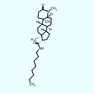 CCCCCCCCNC(=O)[C@H]1CC[C@H]2[C@@H]3CC[C@H]4N(C)C(=O)CC[C@]4(C)[C@H]3CC[C@]12C